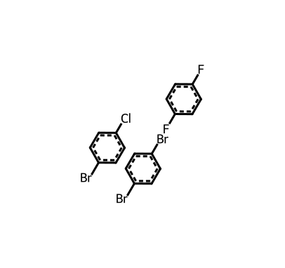 Brc1ccc(Br)cc1.Clc1ccc(Br)cc1.Fc1ccc(F)cc1